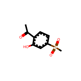 CC(=O)c1ccc(S(C)(=O)=O)cc1O